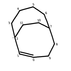 C1=C[C]2CCCCC(CC1)CC2